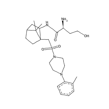 Cc1ccccc1N1CCN(S(=O)(=O)CC23CCC(CC2NC(=O)[C@@H](N)CCO)C3(C)C)CC1